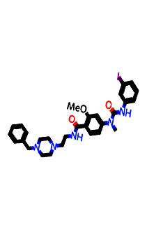 COc1cc(N(C)C(=O)Nc2cccc(I)c2)ccc1C(=O)NCCN1CCN(Cc2ccccc2)CC1